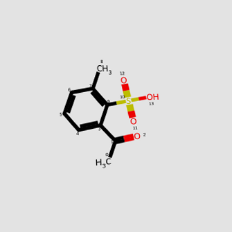 CC(=O)c1cccc(C)c1S(=O)(=O)O